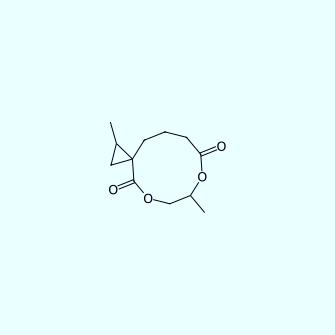 CC1COC(=O)C2(CCCC(=O)O1)CC2C